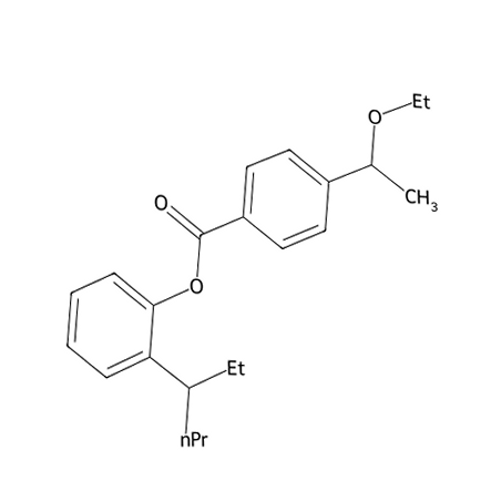 CCCC(CC)c1ccccc1OC(=O)c1ccc(C(C)OCC)cc1